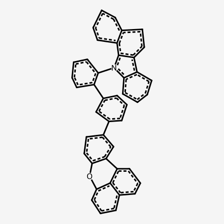 c1cc(-c2ccc3c(c2)-c2cccc4cccc(c24)O3)cc(-c2ccccc2-n2c3ccccc3c3ccc4ccccc4c32)c1